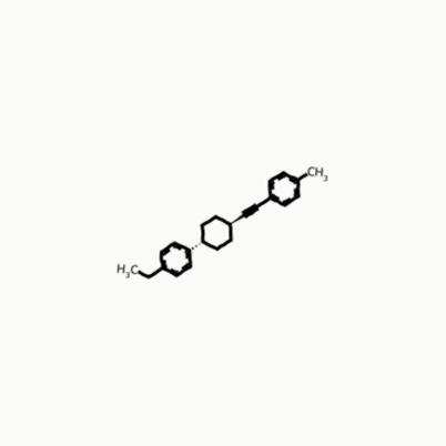 CCc1ccc([C@H]2CC[C@H](C#Cc3ccc(C)cc3)CC2)cc1